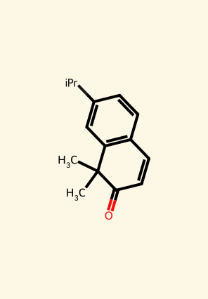 CC(C)c1ccc2c(c1)C(C)(C)C(=O)C=C2